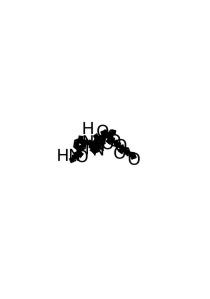 CCNC(=O)c1ccc(C)c(Nc2ncnn3cc(C(=O)N(CC)C(=O)OCOC(=O)/C=C/C=O)c(C)c23)c1